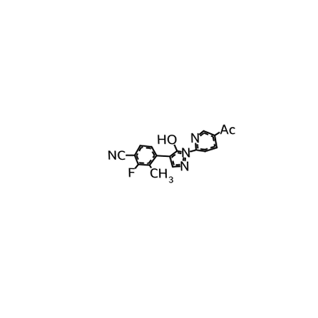 CC(=O)c1ccc(-n2ncc(-c3ccc(C#N)c(F)c3C)c2O)nc1